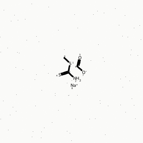 CSC(N)=S.O=C[O-].[Na+]